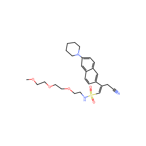 COCCOCCOCCNS(=O)(=O)/C=C(/CC#N)c1ccc2cc(N3CCCCC3)ccc2c1